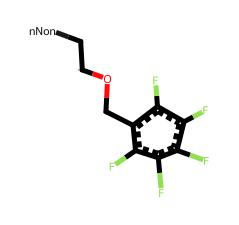 CCCCCCCCCC[CH]OCc1c(F)c(F)c(F)c(F)c1F